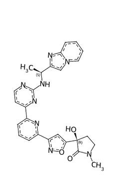 C[C@H](Nc1nccc(-c2cccc(-c3cc([C@]4(O)CCN(C)C4=O)on3)n2)n1)c1cn2ccccc2n1